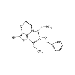 COC(=O)c1sc(Br)c2c1N([C@H](CN)COCc1ccccc1)CCO2